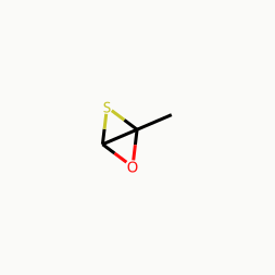 CC12OC1S2